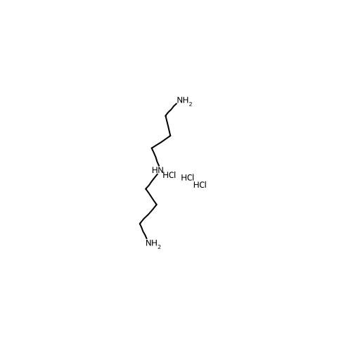 Cl.Cl.Cl.NCCCNCCCN